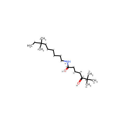 CCC(C)(C)CCCCCCNC(=O)CCCC(=O)C(C)(C)C